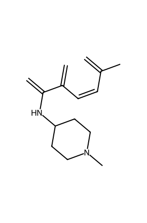 C=C(C)/C=C\C(=C)C(=C)NC1CCN(C)CC1